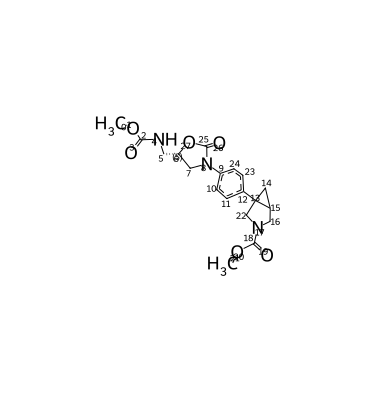 COC(=O)NC[C@H]1CN(c2ccc(C34CC3CN(C(=O)OC)C4)cc2)C(=O)O1